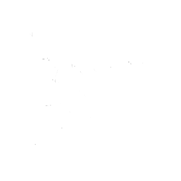 C=CC(=O)N1CC2(C1)CN(c1nc(N3CC(N(C)C)C3)nc3c(F)c(-c4cc(O)cc5ccccc45)c(Cl)cc13)C2